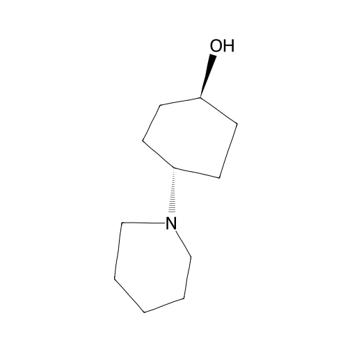 O[C@H]1CC[C@H](N2CCCCC2)CC1